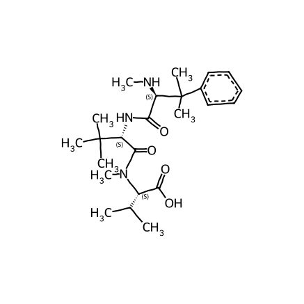 CN[C@H](C(=O)N[C@H](C(=O)N(C)[C@H](C(=O)O)C(C)C)C(C)(C)C)C(C)(C)c1ccccc1